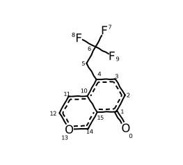 O=c1ccc(CC(F)(F)F)c2ccocc1-2